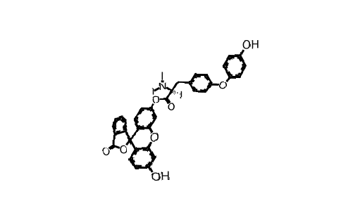 O=C1OC2(c3ccc(O)cc3Oc3cc(OC(=O)[C@](I)(Cc4ccc(Oc5ccc(O)cc5)cc4)N(I)I)ccc32)c2ccccc21